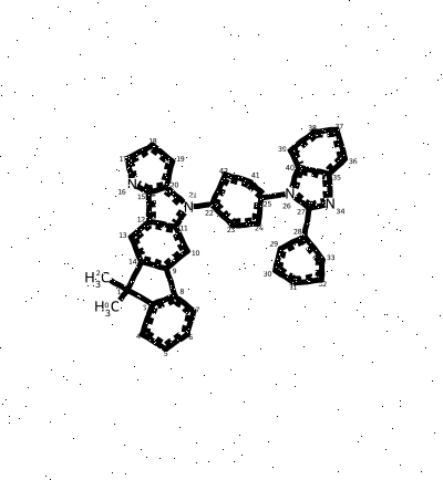 CC1(C)c2ccccc2-c2cc3c(cc21)c1ncccc1n3-c1ccc(-n2c(-c3ccccc3)nc3ccccc32)cc1